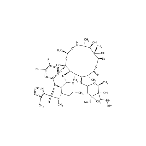 CCCNC[C@]1(O)[C@H](C)OC(O[C@H]2[C@H](C)[C@@H](O[C@@H]3O[C@H](C)C[C@H](N(C)S(=O)(=O)c4nccn4C)[C@H]3Oc3ccc(F)c(C#N)c3)[C@](C)(O)C[C@@H](C)CN[C@H](C)[C@@H](O)[C@](C)(O)[C@@H](CC)OC(=O)[C@@H]2C)C[C@@]1(C)OC